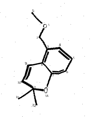 COCc1cccc2c1C=CC(C)(C)O2